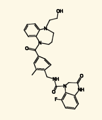 Cc1cc(C(=O)N2CCCN(CCO)c3ccccc32)ccc1CNC(=O)N1CC(=O)Nc2cccc(F)c21